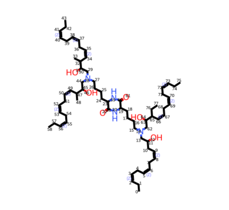 CC/C=C\C/C=C\C/C=C\CC(O)CN(CCCCC1NC(=O)C(CCCCN(CC(O)C(C)/C=C\C/C=C\C/C=C\CC)CC(O)C(C)/C=C\C/C=C\C/C=C\CC)NC1=O)CC(O)C(/C=C\C/C=C\C/C=C\CC)CC